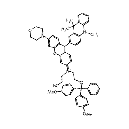 COc1ccc(C(OCC/[N+](CCO)=c2\ccc3c(-c4ccc5c(c4)C(C)(C)c4ccccc4N5C)c4ccc(N5CCOCC5)cc4oc-3c2)(c2ccccc2)c2ccc(OC)cc2)cc1